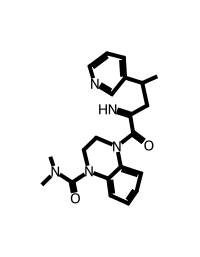 CC(CC(=N)C(=O)N1CCN(C(=O)N(C)C)c2ccccc21)c1cccnc1